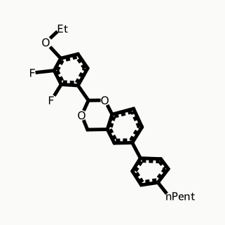 CCCCCc1ccc(-c2ccc3c(c2)COC(c2ccc(OCC)c(F)c2F)O3)cc1